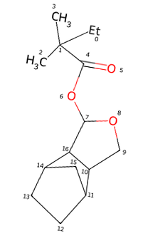 CCC(C)(C)C(=O)OC1OCC2C3CCC(C3)C12